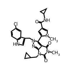 Cn1cc(C(=O)NC2CC2)cc1-c1c2c(=O)n(C)c(=O)n(CC3CC3)c2nn1Cc1c[nH]c2ccc(Cl)cc12